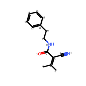 CC(C)=C(C#N)C(=O)NCCc1ccccc1